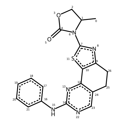 CC1COC(=O)N1c1nc2c(s1)-c1nc(Nc3ccccc3)ncc1CC2